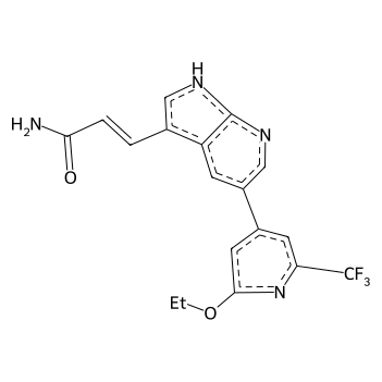 CCOc1cc(-c2cnc3[nH]cc(C=CC(N)=O)c3c2)cc(C(F)(F)F)n1